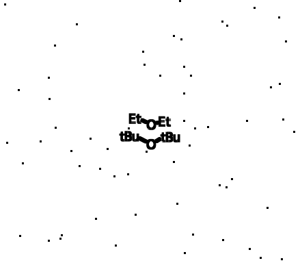 CC(C)(C)OC(C)(C)C.CCOCC